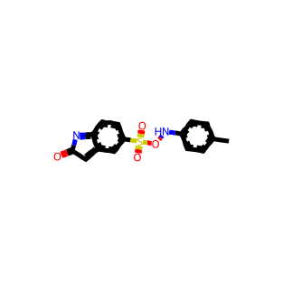 Cc1ccc(NOS(=O)(=O)c2ccc3c(c2)=CC(=O)N=3)cc1